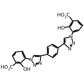 O=C(O)c1cccc(-n2cc(-c3ccc(-c4cn(-c5cccc(C(=O)O)c5O)nn4)cc3)nn2)c1O